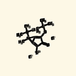 CC[Si](C)(C)[Si]1(C)C2=[C]([Ti+2])C(=O)C(O[Si](C)(C)C)=C21.[Cl-].[Cl-]